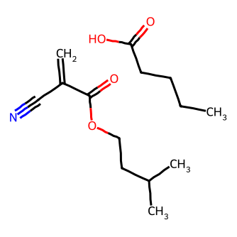 C=C(C#N)C(=O)OCCC(C)C.CCCCC(=O)O